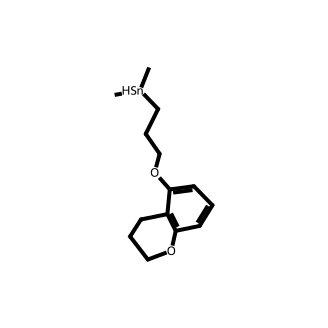 [CH3][SnH]([CH3])[CH2]CCOc1cccc2c1CCCO2